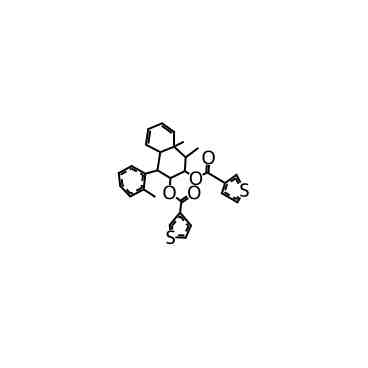 Cc1ccccc1C1C(OC(=O)c2ccsc2)C(OC(=O)c2ccsc2)C(C)C2(C)C=CC=CC12